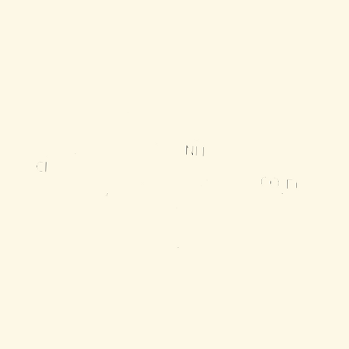 CCOC(=O)C1CCC(C)c2c1[nH]c1ccc(Cl)cc21